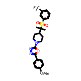 COc1ccc(-c2nnc(N3CCC(C(C)(C)S(=O)(=O)c4cccc(C(F)(F)F)c4)CC3)o2)cc1